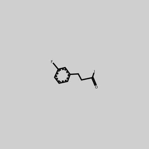 O=C(I)CCc1cccc(F)c1